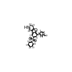 Cn1ccc(-c2cc(S(=O)(=O)c3ccccc3)cc3c4c(oc23)CCNC4)n1